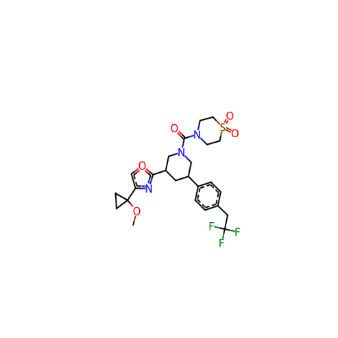 COC1(c2coc(C3CC(c4ccc(CC(F)(F)F)cc4)CN(C(=O)N4CCS(=O)(=O)CC4)C3)n2)CC1